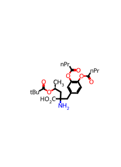 CCCC(=O)Oc1ccc(CC(N)(C[C@H](C)OC(=O)C(C)(C)C)C(=O)O)cc1OC(=O)CCC